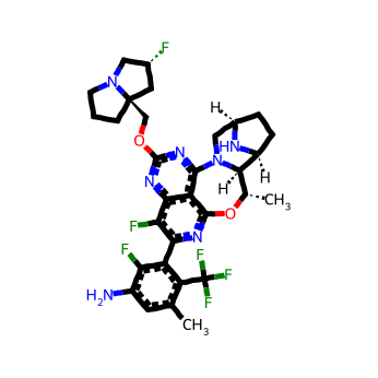 Cc1cc(N)c(F)c(-c2nc3c4c(nc(OC[C@@]56CCCN5C[C@H](F)C6)nc4c2F)N2C[C@H]4CC[C@H](N4)[C@H]2[C@H](C)O3)c1C(F)(F)F